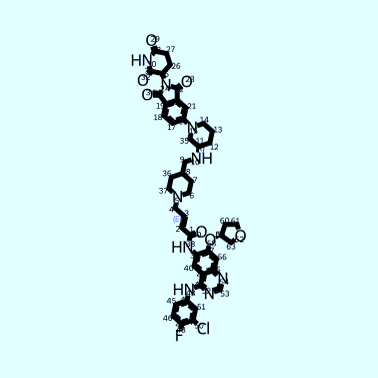 O=C(/C=C/CN1CCC(CN[C@@H]2CCCN(c3ccc4c(c3)C(=O)N(C3CCC(=O)NC3=O)C4=O)C2)CC1)Nc1cc2c(Nc3ccc(F)c(Cl)c3)ncnc2cc1O[C@H]1CCOC1